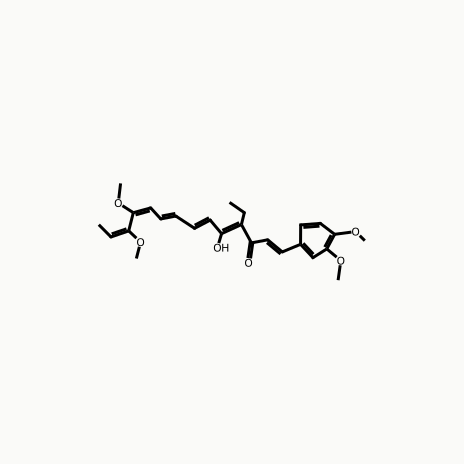 C\C=C(OC)/C(=C\C=C\C=C\C(O)=C(/CC)C(=O)/C=C/c1ccc(OC)c(OC)c1)OC